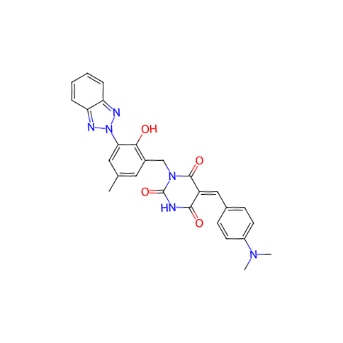 Cc1cc(CN2C(=O)NC(=O)/C(=C\c3ccc(N(C)C)cc3)C2=O)c(O)c(-n2nc3ccccc3n2)c1